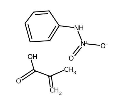 C=C(C)C(=O)O.O=[N+]([O-])Nc1ccccc1